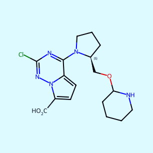 O=C(O)c1ccc2c(N3CCC[C@H]3COC3CCCCN3)nc(Cl)nn12